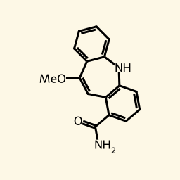 COC1=Cc2c(cccc2C(N)=O)Nc2ccccc21